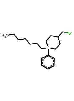 CCCCCCC[Si]1(c2ccccc2)CCC(CBr)CC1